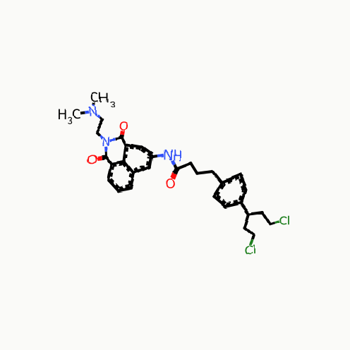 CN(C)CCN1C(=O)c2cccc3cc(NC(=O)CCCc4ccc(C(CCCl)CCCl)cc4)cc(c23)C1=O